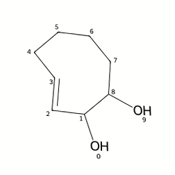 OC1/C=C/CCCCC1O